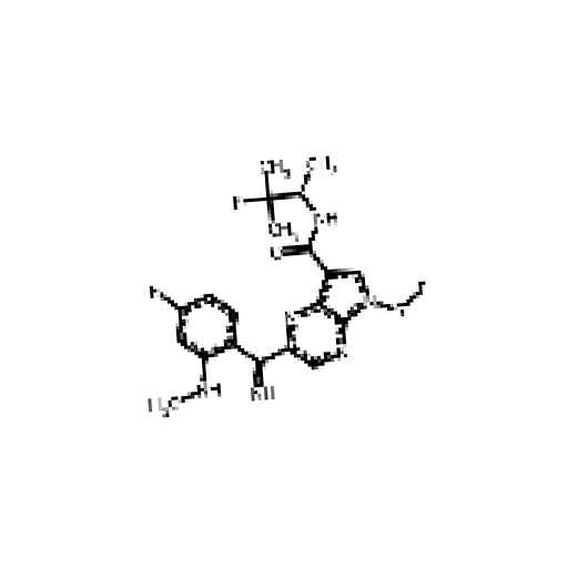 CNc1cc(F)ccc1C(=N)c1cnc2c(n1)c(C(=O)N[C@H](C)C(C)(C)F)cn2SF